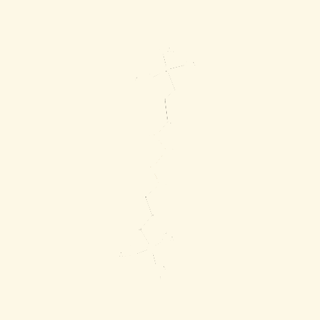 CC(=O)O[Si](CCCSSSSCCC[Si](OC(C)=O)(OC(C)=O)OC(C)=O)(OC(C)=O)OC(C)=O